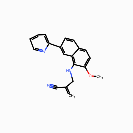 C=C(C#N)CNc1c(OC)ccc2ccc(-c3ccccn3)cc12